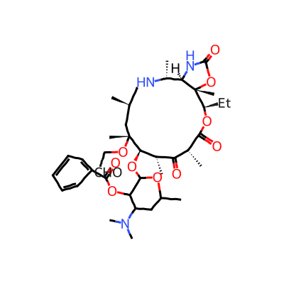 CC[C@H]1OC(=O)[C@H](C)C(=O)[C@H](C)[C@@H](OC2OC(C)CC(N(C)C)C2OC(=O)c2ccccc2)[C@](C)(OCC=O)C[C@@H](C)CN[C@H](C)[C@H]2NC(=O)O[C@@]21C